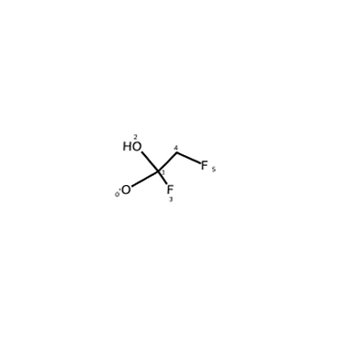 [O]C(O)(F)CF